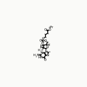 CC(C)OC(=O)CCCO[P@]1(=O)OC[C@H]2O[C@@H](n3cnc4c(=O)[nH]c(N)nc43)[C@](C)(F)[C@@H]2O1